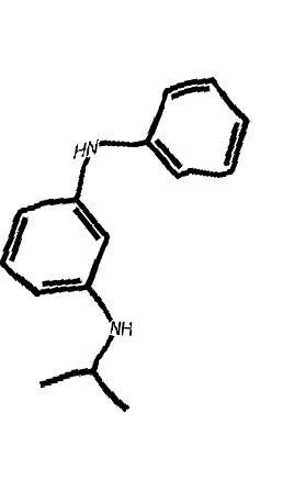 CC(C)Nc1cccc(Nc2ccccc2)c1